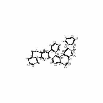 c1ccc(-c2nc3ccc4ccccc4c3nc2-c2ccc3ccc4cc5oc6ccccc6c5cc4c3c2)cc1